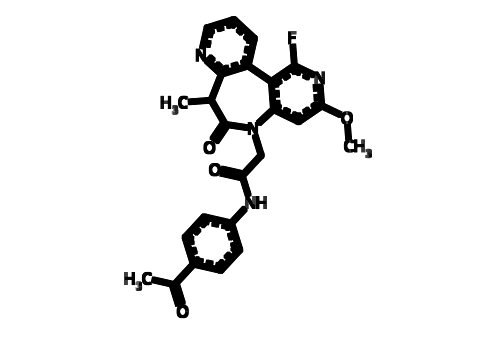 COc1cc2c(c(F)n1)-c1cccnc1C(C)C(=O)N2CC(=O)Nc1ccc(C(C)=O)cc1